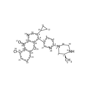 C[C@H]1CN(c2ccc(-c3c(C4CC4)cnc4c(=O)c5c(Cl)cccc5oc34)cn2)CCN1